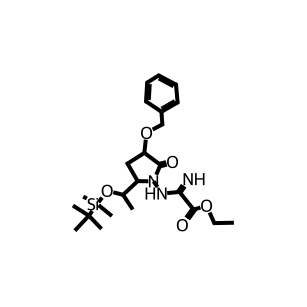 CCOC(=O)C(=N)NN1C(=O)C(OCc2ccccc2)CC1C(C)O[Si](C)(C)C(C)(C)C